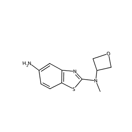 CN(c1nc2cc(N)ccc2s1)C1COC1